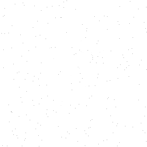 CCOC(=O)c1cc(C(=O)O)cc(C(=O)NC)n1